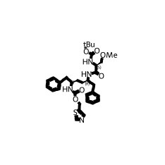 COC[C@H](NC(=O)OC(C)(C)C)C(=O)N[C@H](CC[C@H](Cc1ccccc1)NC(=O)OCc1cncs1)Cc1ccccc1